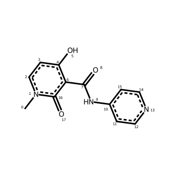 Cn1ccc(O)c(C(=O)Nc2ccncc2)c1=O